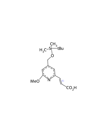 COc1cc(CO[Si](C)(C)C(C)(C)C)cc(/C=C/C(=O)O)n1